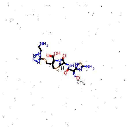 CO/N=C(/C(=O)NC1C(=O)N2C(C(=O)O)=C(CSc3nnnn3CCN)CS[C@H]12)c1nsc(N)n1